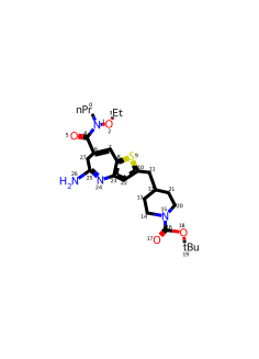 CCCN(OCC)C(=O)C1=Cc2sc(CC3CCN(C(=O)OC(C)(C)C)CC3)cc2N=C(N)C1